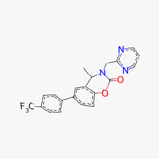 CC1c2cc(-c3ccc(C(F)(F)F)cc3)ccc2OC(=O)N1Cc1ncccn1